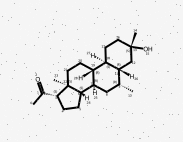 CC(=O)[C@H]1CC[C@H]2[C@@H]3C[C@@H](C)[C@H]4C[C@@](C)(O)CC[C@@H]4[C@H]3CC[C@]12C